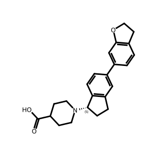 O=C(O)C1CCN([C@H]2CCc3cc(-c4ccc5c(c4)OCC5)ccc32)CC1